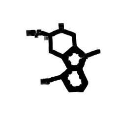 Cn1c2c(c3c(O)cccc31)C[C@@H](C(=O)O)NC2